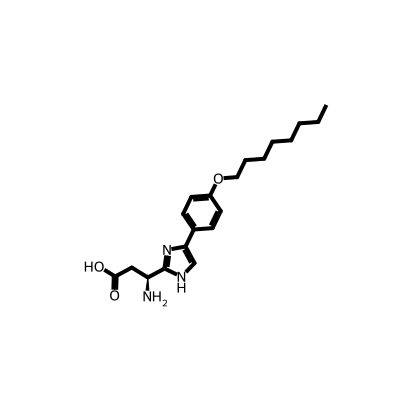 CCCCCCCCOc1ccc(-c2c[nH]c([C@@H](N)CC(=O)O)n2)cc1